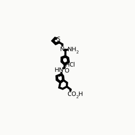 Cl.NC(=NCc1cccs1)c1ccc(C(=O)Nc2ccc3c(c2)CC(CC(=O)O)CC3)cc1